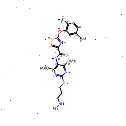 CCNCCCOc1nc(OC)c(NC(=O)c2csc(Oc3cc(C(C)(C)C)ccc3C)n2)c(OC)n1